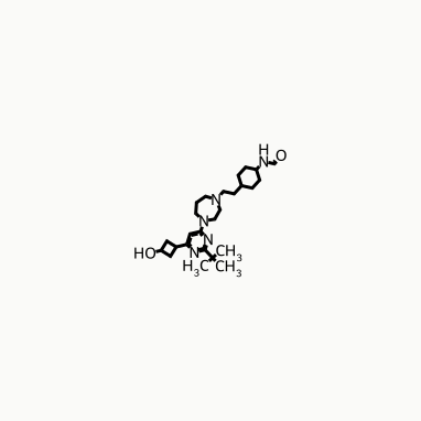 CC(C)(C)c1nc(C2CC(O)C2)cc(N2CCCN(CCC3CCC(NC=O)CC3)CC2)n1